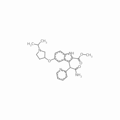 COC(=O)c1[nH]c2ccc(OC3CCN(C(C)C)C3)cc2c1C(C(N)=O)c1ccccn1